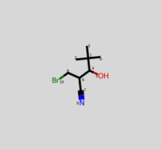 CC(C)(C)C(O)C(C#N)CBr